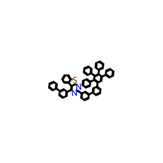 c1ccc(-c2cccc(-c3nc(-c4cccc(-c5cccc(-c6cc(-c7ccccc7)c(-c7ccccc7)c(-c7ccccc7)c6-c6ccccc6)c5)c4)nc4sc5ccccc5c34)c2)cc1